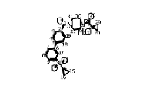 O=C(c1ccc(-c2cccc(S(=O)(=O)C3CC3)c2)cc1)N1CCN(C(=O)C2(O)CC2)CC1